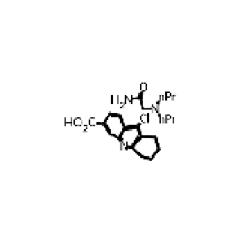 CCCN(CCC)CC(N)=O.O=C(O)c1ccc2c(Cl)c3c(nc2c1)CCCC3